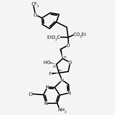 CCOC(=O)C(Cc1ccc(OC(F)(F)F)cc1)(OC[C@H]1OC[C@](F)(n2cnc3c(N)nc(Cl)nc32)[C@@H]1O)C(=O)OCC